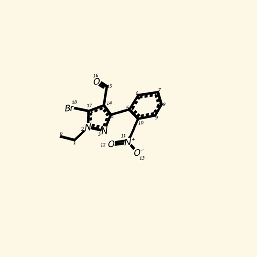 CCn1nc(-c2ccccc2[N+](=O)[O-])c(C=O)c1Br